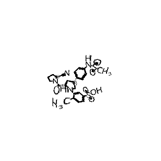 CS(=O)(=O)Nc1ccc([C@@H]2CN[C@H](C(=O)N3CCC[C@H]3C#N)C2)cc1.Cc1ccc(S(=O)(=O)O)cc1